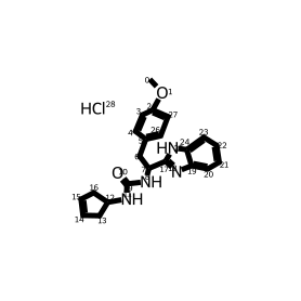 COc1ccc(CC(NC(=O)NC2CC=CC2)c2nc3ccccc3[nH]2)cc1.Cl